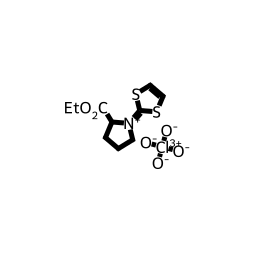 CCOC(=O)C1CCC[N+]1=c1sccs1.[O-][Cl+3]([O-])([O-])[O-]